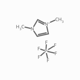 Cn1cc[n+](C)c1.F[P-](F)(F)(F)(F)F